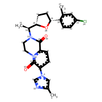 Cc1cn(-c2ccc3n(c2=O)CCN([C@@H](C)[C@@H]2CC[C@H](c4ccc(Cl)cc4C(F)(F)F)O2)C3=O)cn1